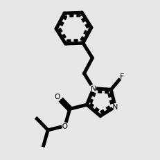 CC(C)OC(=O)c1cnc(F)n1CCc1ccccc1